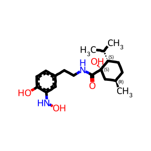 CC(C)[C@@H]1CC[C@@H](C)C[C@@]1(O)C(=O)NCCc1ccc(O)c(NO)c1